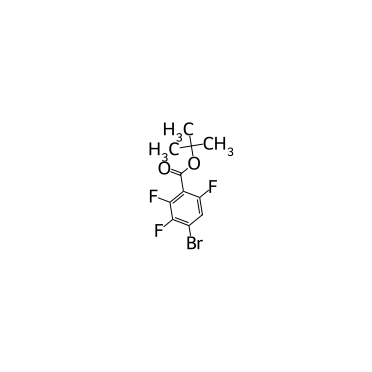 CC(C)(C)OC(=O)c1c(F)cc(Br)c(F)c1F